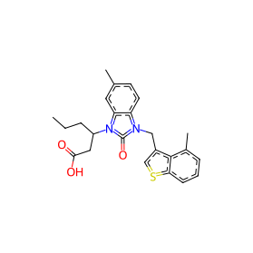 CCCC(CC(=O)O)n1c(=O)n(Cc2csc3cccc(C)c23)c2ccc(C)cc21